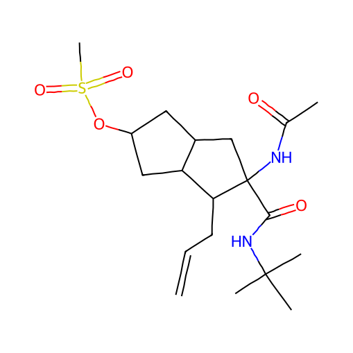 C=CCC1C2CC(OS(C)(=O)=O)CC2CC1(NC(C)=O)C(=O)NC(C)(C)C